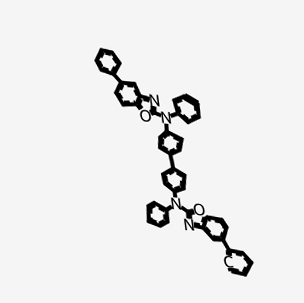 c1ccc(N(c2ccc(-c3ccc(N(c4ccccc4)c4nc5cc(-c6ccccc6)ccc5o4)cc3)cc2)c2nc3cc(-c4ccccc4)ccc3o2)cc#1